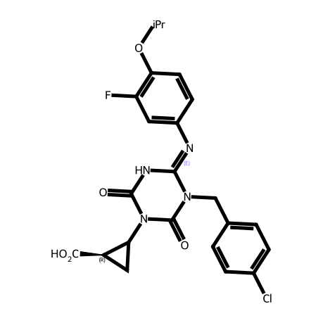 CC(C)Oc1ccc(/N=c2\[nH]c(=O)n(C3C[C@H]3C(=O)O)c(=O)n2Cc2ccc(Cl)cc2)cc1F